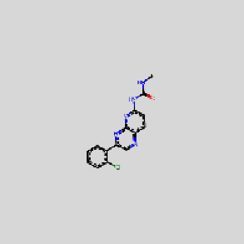 CCNC(=O)Nc1ccc2ncc(-c3ccccc3Cl)nc2n1